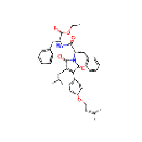 CCOC(=O)C(Cc1ccccc1)NC(=O)C(Cc1ccccc1)N1C(=O)C(CC(C)C)=C(c2ccc(OCC=C(C)C)cc2)C1=O